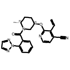 C=Cc1c(C#N)ccnc1O[C@@H]1CC[C@@H](C)N(C(=O)c2ccccc2-n2nccn2)C1